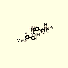 COc1cc(F)cc(-c2ccnc3[nH]c(-c4n[nH]c5ccc(-c6cncc(NC(=O)C(C)C)c6)cc45)nc23)c1